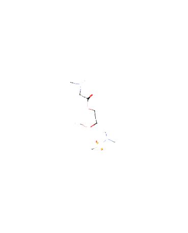 CCN(C[C@@H](COC(=O)CN(C)C)OC(C)C)S(C)(=O)=O